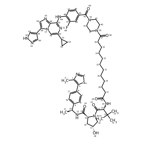 Cc1ncsc1-c1ccc([C@H](C)NC(=O)[C@@H]2C[C@@H](O)CN2C(=O)[C@@H](NC(=O)CCCCCCCCCCC(=O)N2CCN(C(=O)c3ccc(Nc4nc(C5CC5)cn5c(-c6cn[nH]c6)cnc45)c(F)c3)CC2)C(C)(C)C)cc1